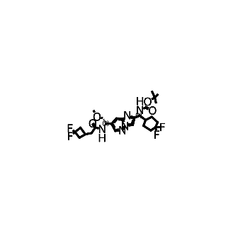 COC[C@@H](NC(=O)CC1CC(F)(F)C1)c1cnn2cc([C@@H](NC(=O)OC(C)(C)C)C3CCC(F)(F)CC3)nc2c1